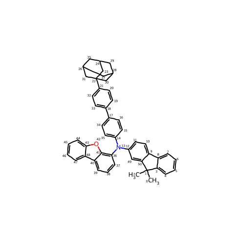 CC1(C)c2ccccc2-c2ccc(N(c3ccc(-c4ccc(C56CC7CC(CC(C7)C5)C6)cc4)cc3)c3cccc4c3oc3ccccc34)cc21